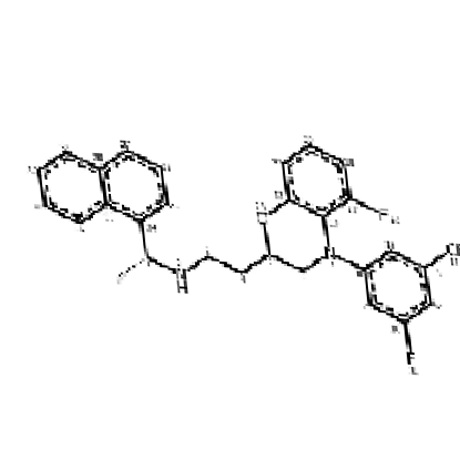 C[C@@H](NCCC1CN(c2cc(F)cc(C(F)(F)F)c2)c2c(F)cccc2O1)c1cccc2ccccc12